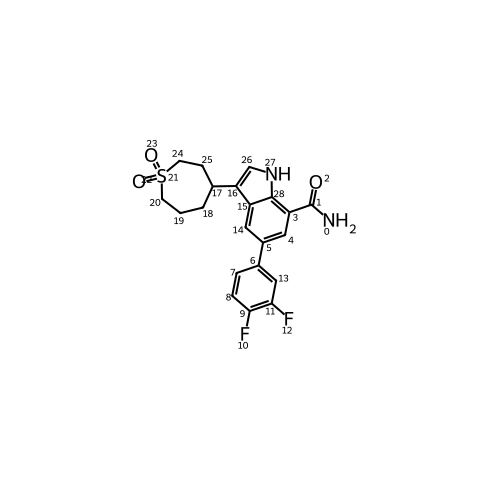 NC(=O)c1cc(-c2ccc(F)c(F)c2)cc2c(C3CCCS(=O)(=O)CC3)c[nH]c12